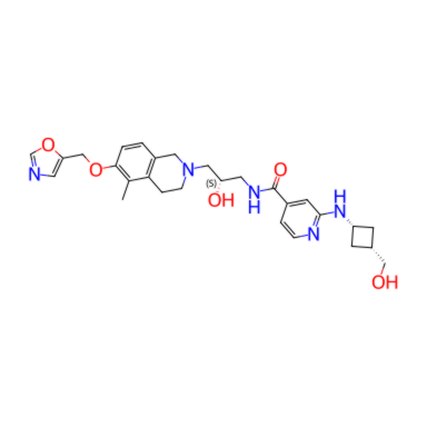 Cc1c(OCc2cnco2)ccc2c1CCN(C[C@@H](O)CNC(=O)c1ccnc(N[C@H]3C[C@@H](CO)C3)c1)C2